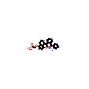 NC(=O)C(c1ccccc1C(=O)c1ccccc1)C1CCCc2c(OCC(=O)O)cccc21